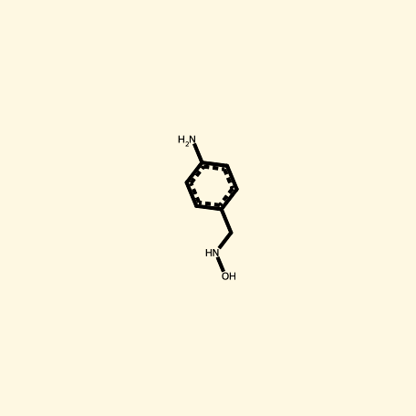 Nc1ccc(CNO)cc1